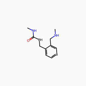 CNCc1cbccc1CBC(=O)NC